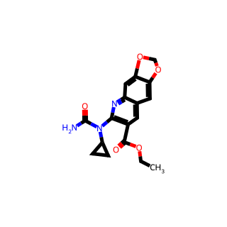 CCOC(=O)c1cc2cc3c(cc2nc1N(C(N)=O)C1CC1)OCO3